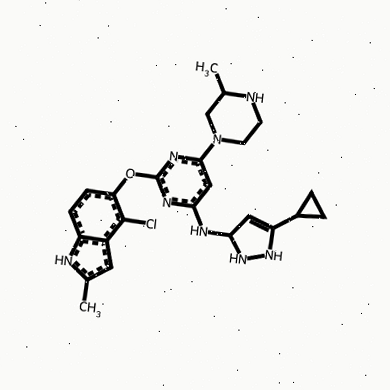 Cc1cc2c(Cl)c(Oc3nc(NC4C=C(C5CC5)NN4)cc(N4CCNC(C)C4)n3)ccc2[nH]1